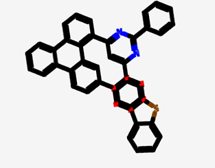 c1ccc(-c2cc(-c3cccc4c5ccccc5c5ccc(-c6ccc7sc8ccccc8c7c6)cc5c34)nc(-c3ccccc3)n2)cc1